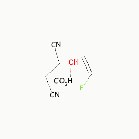 C=CF.N#CCCC#N.O=C(O)O